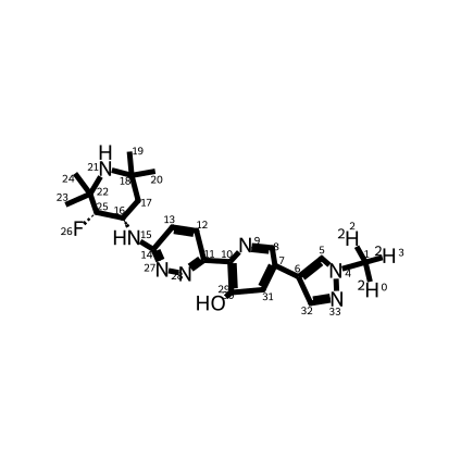 [2H]C([2H])([2H])n1cc(-c2cnc(-c3ccc(N[C@H]4CC(C)(C)NC(C)(C)[C@H]4F)nn3)c(O)c2)cn1